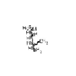 BBB(BCBBBB[CH2])CC=C